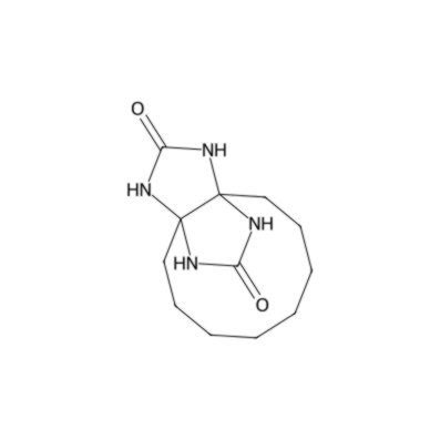 O=C1NC23CCCCCCCCC2(N1)NC(=O)N3